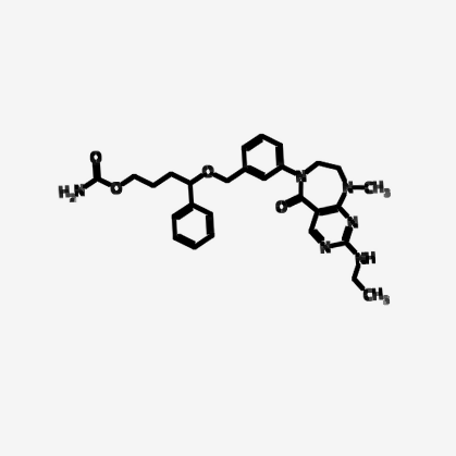 CCNc1ncc2c(n1)N(C)CCN(c1cccc(COC(CCCOC(N)=O)c3ccccc3)c1)C2=O